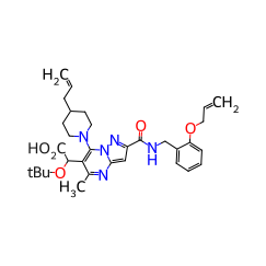 C=CCOc1ccccc1CNC(=O)c1cc2nc(C)c(C(OC(C)(C)C)C(=O)O)c(N3CCC(CC=C)CC3)n2n1